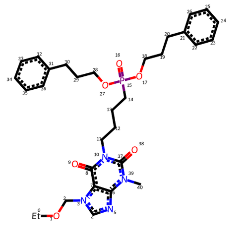 CCOCn1cnc2c1c(=O)n(CCCCP(=O)(OCCCc1ccccc1)OCCCc1ccccc1)c(=O)n2C